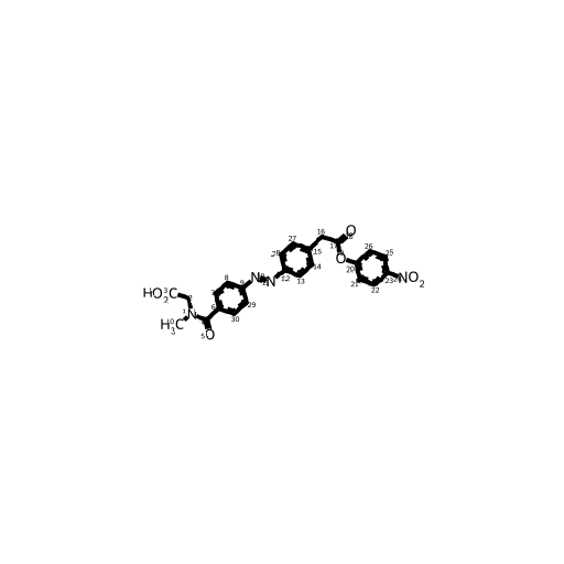 CN(CC(=O)O)C(=O)c1ccc(N=Nc2ccc(CC(=O)Oc3ccc([N+](=O)[O-])cc3)cc2)cc1